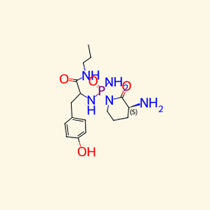 CCCNC(=O)C(Cc1ccc(O)cc1)NP(N)(=O)N1CCC[C@H](N)C1=O